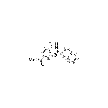 COC(=O)c1ccc(C(C)NC(=O)C2Cc3ccccc3CN2)cc1